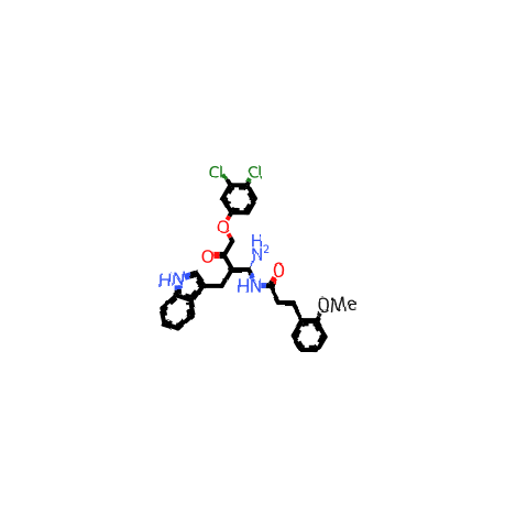 COc1ccccc1CCC(=O)N[C@@H](N)C(Cc1c[nH]c2ccccc12)C(=O)COc1ccc(Cl)c(Cl)c1